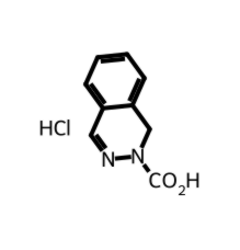 Cl.O=C(O)N1Cc2ccccc2C=N1